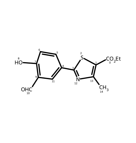 CCOC(=O)c1sc(-c2ccc(O)c(C=O)c2)nc1C